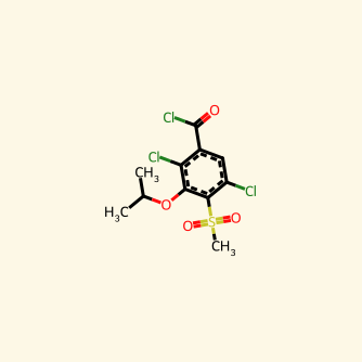 CC(C)Oc1c(Cl)c(C(=O)Cl)cc(Cl)c1S(C)(=O)=O